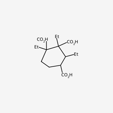 CCC1C(C(=O)O)CCC(CC)(C(=O)O)C1(CC)C(=O)O